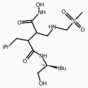 CC(C)CC(C(=O)N[C@H](CO)C(C)(C)C)C(CNCS(C)(=O)=O)C(=O)NO